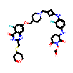 O=CON1C(=O)CCC(Nc2ccc(NC3CC(CN4CCC(COc5cc(F)c6c(=O)[nH]c(CSC7CCOCC7)nc6c5)CC4)C3)c(F)c2)C1=O